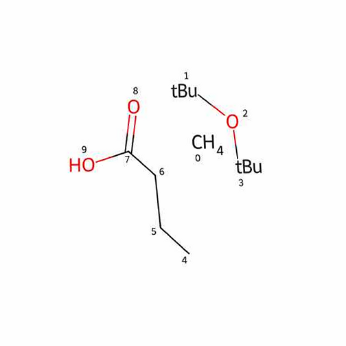 C.CC(C)(C)OC(C)(C)C.CCCC(=O)O